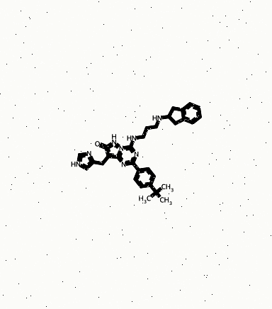 CC(C)(C)c1ccc(-c2nc(NCCCNC3Cc4ccccc4C3)n3[nH]c(=O)c(Cc4c[nH]cn4)c3n2)cc1